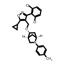 Cc1ccc(N2C[C@@H]3C[C@H]2C[C@H]3OCc2c(-c3c(Cl)cccc3Cl)noc2C2CC2)cc1